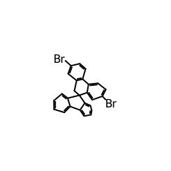 Brc1ccc2c(c1)CC1(c3cc(Br)ccc3-2)c2ccccc2-c2ccccc21